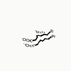 CC(C)CCCCCC(=O)[O-].CC(C)CCCCCC(=O)[O-].[Zn+2]